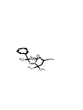 CC(C)(ON1C(C)(C)CC(O)CC1(C)C)c1ccccc1